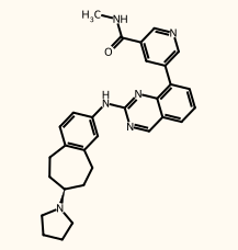 CNC(=O)c1cncc(-c2cccc3cnc(Nc4ccc5c(c4)CC[C@@H](N4CCCC4)CC5)nc23)c1